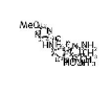 COc1cnc(C(=O)Nc2ccc(F)c([C@]3(C)CS(O)(O)C(C)(C)C(N)=N3)c2)cn1